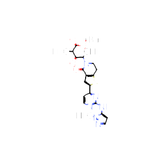 CC(C(=O)OC(C)(C)C)C(=O)C(C)N1CCc2sc(-c3ccnc(Nc4ccnn4C)n3)cc2C1=O